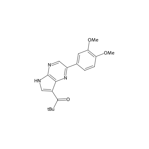 COc1ccc(-c2cnc3[nH]cc(C(=O)C(C)(C)C)c3n2)cc1OC